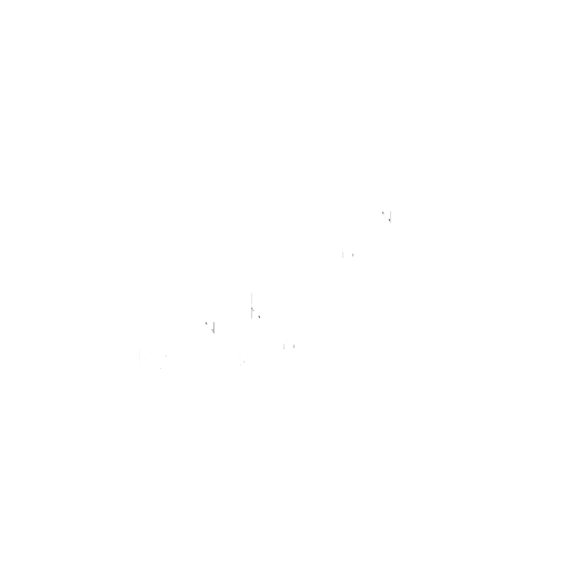 O=C(O)c1csc(NC(=O)C2CC(Oc3cccc4cccnc34)C2)n1